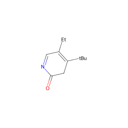 CCC1=C(C(C)(C)C)CC(=O)N=C1